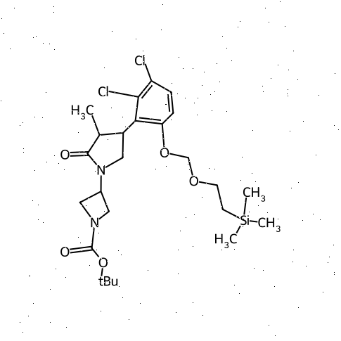 CC1C(=O)N(C2CN(C(=O)OC(C)(C)C)C2)CC1c1c(OCOCC[Si](C)(C)C)ccc(Cl)c1Cl